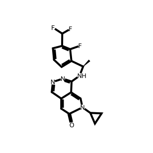 C[C@@H](Nc1nncc2cc(=O)n(C3CC3)cc12)c1cccc(C(F)F)c1F